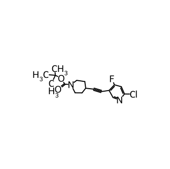 CC(C)(C)OC(=O)N1CCC(C#Cc2cnc(Cl)cc2F)CC1